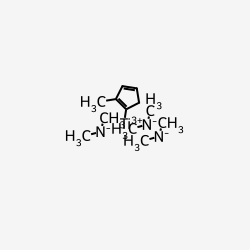 CC1=[C]([Ti+3])CC=C1.C[N-]C.C[N-]C.C[N-]C